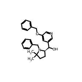 CC1(C)CC[C@H](C(O)c2cncc(OCc3ccccc3)c2)N1Cc1ccccc1